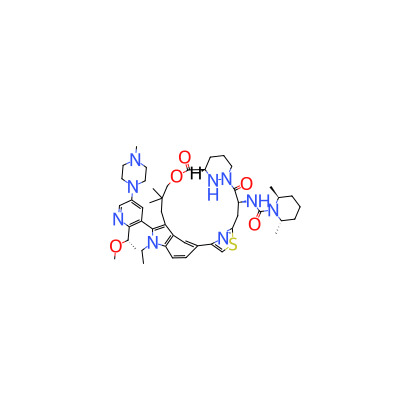 CCn1c(-c2cc(N3CCN(C)CC3)cnc2[C@H](C)OC)c2c3cc(ccc31)-c1csc(n1)C[C@H](NC(=O)N1[C@@H](C)CCC[C@@H]1C)C(=O)N1CCC[C@H](N1)C(=O)OCC(C)(C)C2